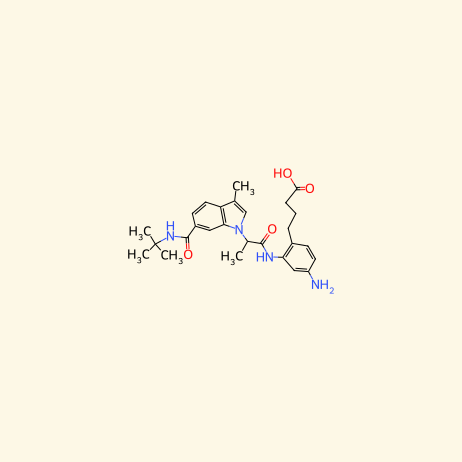 Cc1cn(C(C)C(=O)Nc2cc(N)ccc2CCCC(=O)O)c2cc(C(=O)NC(C)(C)C)ccc12